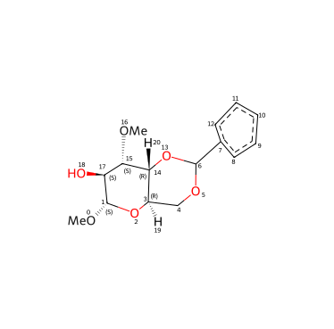 CO[C@H]1O[C@@H]2COC(c3ccccc3)O[C@H]2[C@@H](OC)[C@@H]1O